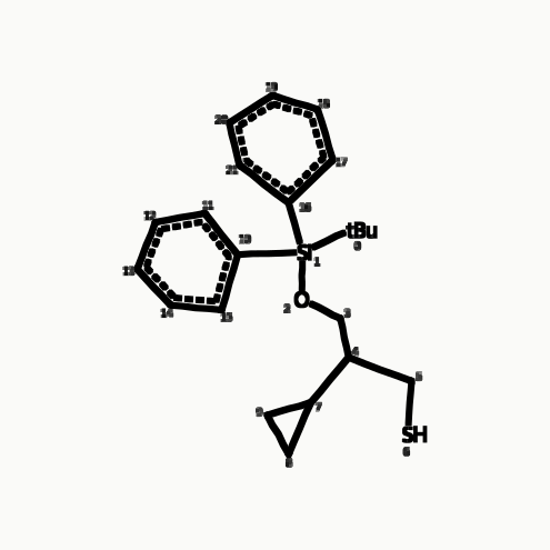 CC(C)(C)[Si](OCC(CS)C1CC1)(c1ccccc1)c1ccccc1